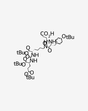 CC(C)(C)OC(=O)CC[C@H](NC(=O)N[C@@H](CCCCNC(=O)[C@@H](Cc1ccc(OC(C)(C)C)cc1)NC(=O)CCC(=O)O)C(=O)OC(C)(C)C)C(=O)OC(C)(C)C